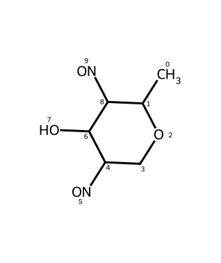 CC1OCC(N=O)C(O)C1N=O